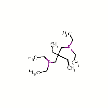 CCP(CC)CC(CC)(CC)CP(CC)CC